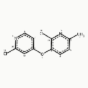 Cc1ccc(Oc2ccnc(Cl)c2)c(Cl)n1